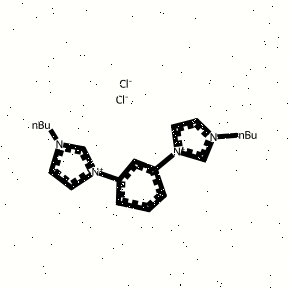 CCCCn1cc[n+](-c2cccc(-[n+]3ccn(CCCC)c3)c2)c1.[Cl-].[Cl-]